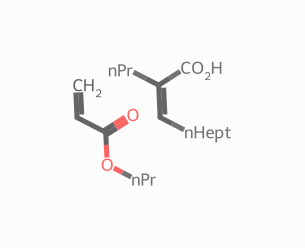 C=CC(=O)OCCC.CCCCCCCC=C(CCC)C(=O)O